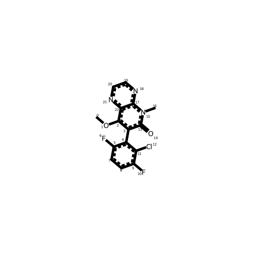 COc1c(-c2c(F)ccc(F)c2Cl)c(=O)n(C)c2nccnc12